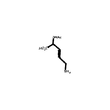 CC(=O)NC(C=CCN)C(=O)O